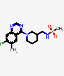 Cc1cc2c(N3CCCC(CNS(C)(=O)=O)C3)ncnc2cc1F